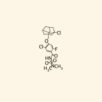 CN(C)S(=O)(=O)NC(=O)c1cc(Cl)c(OCC23CC4CC(CC(Cl)(C4)C2)C3)cc1F